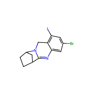 Brc1cc(I)c2c(c1)N=C1C3CCC(C3)N1C2